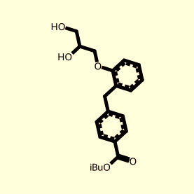 CC(C)COC(=O)c1ccc(Cc2ccccc2OCC(O)CO)cc1